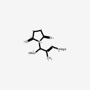 CCCCCCCC=C(C)C(CCCCCCCCC)N1C(=O)CCC1=O